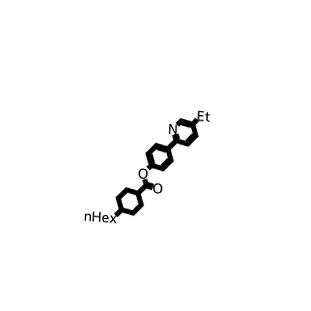 CCCCCCC1CCC(C(=O)Oc2ccc(-c3ccc(CC)cn3)cc2)CC1